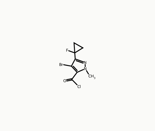 Cn1nc(C2(F)CC2)c(Br)c1C(=O)Cl